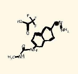 CNC(=O)Nc1ccc2cc(/C=N\N)ccc2c1.O=C(O)C(F)(F)F